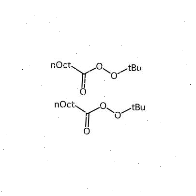 CCCCCCCCC(=O)OOC(C)(C)C.CCCCCCCCC(=O)OOC(C)(C)C